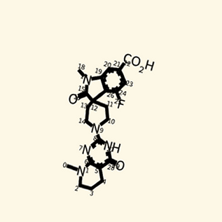 CN1CCCc2c1nc(N1CCC3(CC1)C(=O)N(C)c1cc(C(=O)O)cc(F)c13)[nH]c2=O